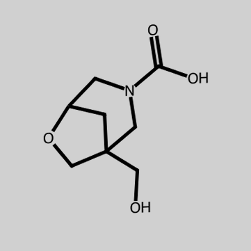 O=C(O)N1CC2CC(CO)(CO2)C1